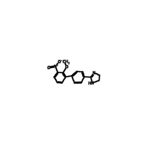 COc1c(-c2ccc(C3=NCCN3)cc2)cccc1[N+](=O)[O-]